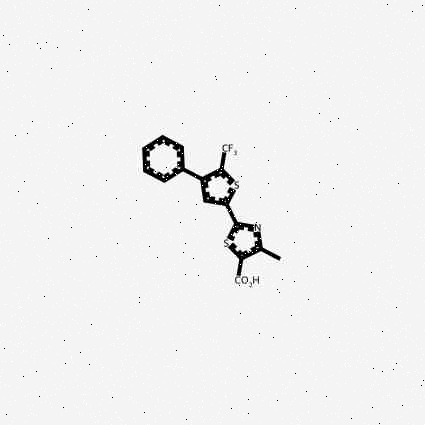 Cc1nc(-c2cc(-c3ccccc3)c(C(F)(F)F)s2)sc1C(=O)O